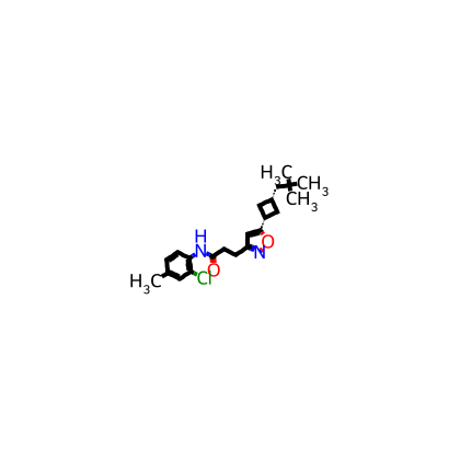 Cc1ccc(NC(=O)CCc2cc([C@H]3C[C@@H](CC(C)(C)C)C3)on2)c(Cl)c1